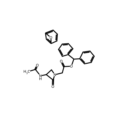 CC(=O)NC1CN(CC(=O)OC(c2ccccc2)c2ccccc2)C1=O.c1cc2cc(c1)O2